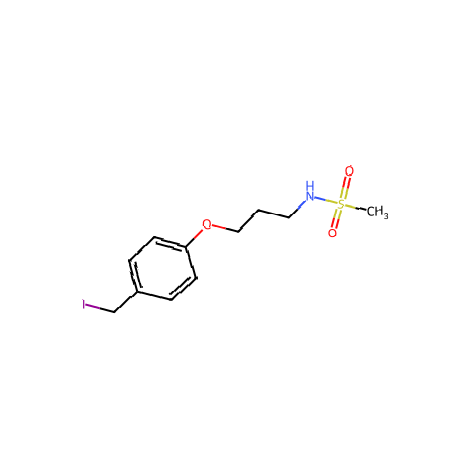 CS(=O)(=O)NCCCOc1ccc(CI)cc1